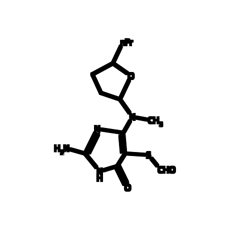 CCCC1CCC(N(C)c2nc(N)[nH]c(=O)c2SC=O)O1